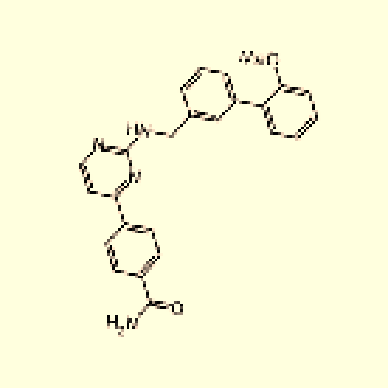 COc1ccccc1-c1cccc(CNc2nccc(-c3ccc(C(N)=O)cc3)n2)c1